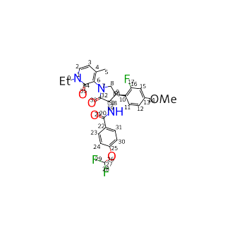 CCn1ccc(C)c(N2C[C@@H](c3ccc(OC)cc3F)[C@H](NC(=O)c3ccc(OC(F)F)cc3)C2=O)c1=O